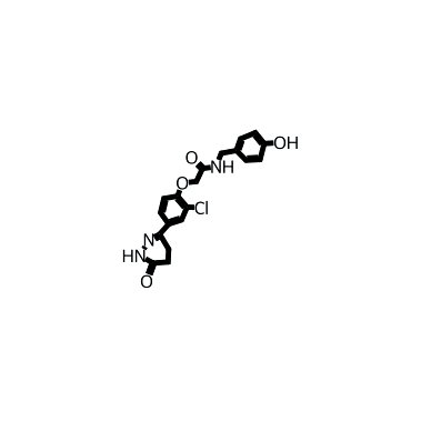 O=C(COc1ccc(C2=NNC(=O)CC2)cc1Cl)NCc1ccc(O)cc1